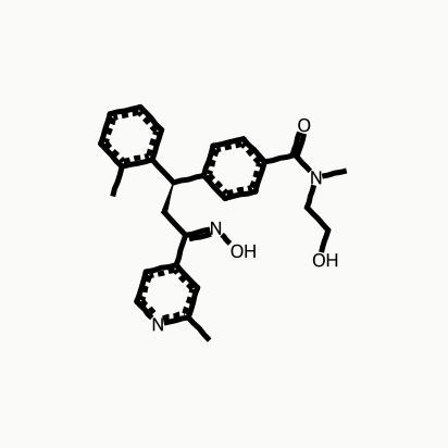 Cc1cc(C(C[C@H](c2ccc(C(=O)N(C)CCO)cc2)c2ccccc2C)=NO)ccn1